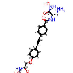 NC[C@H](NC(=O)c1ccc(C#Cc2ccc(OCC(=O)NO)cc2)cc1)C(=O)NO